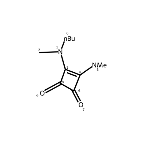 CCCCN(C)c1c(NC)c(=O)c1=O